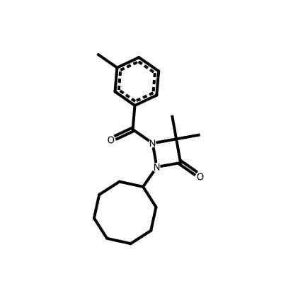 Cc1cccc(C(=O)N2N(C3CCCCCCC3)C(=O)C2(C)C)c1